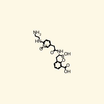 NCCNc1ccc(CC(=O)N[C@H]2Cc3cccc(C(=O)O)c3OB2O)c[n+]1[O-]